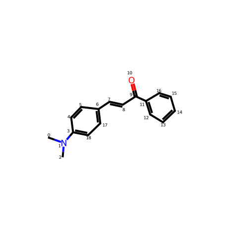 CN(C)c1ccc(C=CC(=O)c2ccccc2)cc1